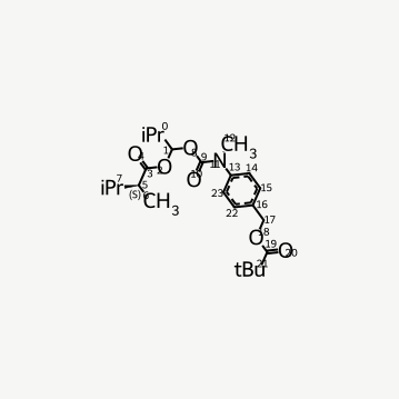 CC(C)C(OC(=O)[C@@H](C)C(C)C)OC(=O)N(C)c1ccc(COC(=O)C(C)(C)C)cc1